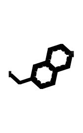 ICc1ccc2cnccc2c1